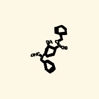 O=CN(Cc1ccccc1)c1ccc(N(C=O)OCc2ccccc2)c(O)c1